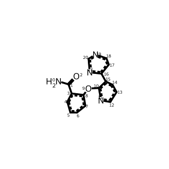 NC(=O)c1ccccc1Oc1ncccc1-c1ccncn1